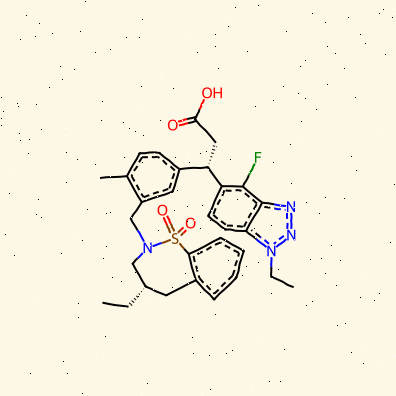 CC[C@H]1Cc2ccccc2S(=O)(=O)N(Cc2cc([C@H](CC(=O)O)c3ccc4c(nnn4CC)c3F)ccc2C)C1